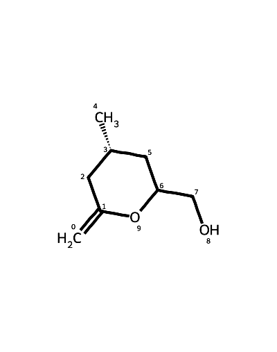 C=C1C[C@H](C)CC(CO)O1